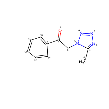 Cc1nnnn1CC(=O)c1ccccc1